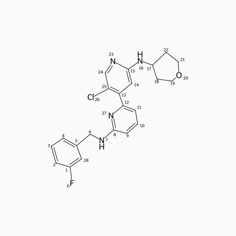 Fc1cccc(CNc2cccc(-c3cc(NC4CCOCC4)ncc3Cl)n2)c1